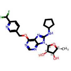 C[C@H]1O[C@@H](n2c(NC3CCCC3)nc3c(OCc4ccc(C(F)F)nc4)ncnc32)[C@H](O)[C@@H]1O